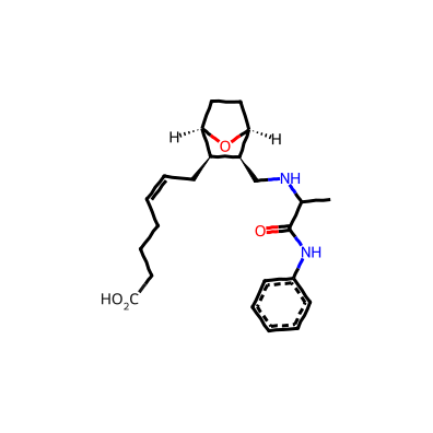 CC(NC[C@H]1[C@@H](C/C=C\CCCC(=O)O)[C@H]2CC[C@@H]1O2)C(=O)Nc1ccccc1